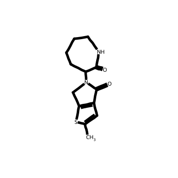 Cc1cc2c(s1)CN(C1CCCCNC1=O)C2=O